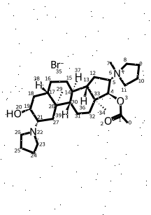 CC(=O)O[C@@H]1[C@@H]([N+]2(C)CCCC2)C[C@H]2[C@@H]3CC[C@H]4C[C@H](O)[C@@H](N5CCCC5)C[C@]4(C)[C@H]3CC[C@]12C.[Br-]